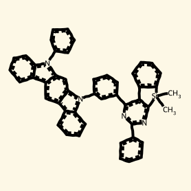 C[Si]1(C)c2ccccc2-c2c(-c3cccc(-n4c5ccccc5c5cc6c7ccccc7n(-c7ccccc7)c6cc54)c3)nc(-c3ccccc3)nc21